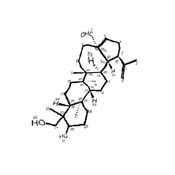 C=C(C)[C@@H]1CC[C@]2(C=O)CC[C@]3(C)[C@H](CC[C@@H]4[C@@]5(C)CCC(O)C(C)(CO)[C@@H]5CC[C@]43C)[C@@H]12